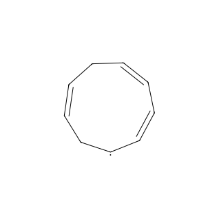 [CH]1C=CC=CCC=CC1